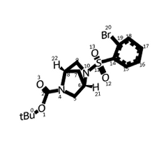 CC(C)(C)OC(=O)N1C[C@@H]2C[C@H]1CN2S(=O)(=O)c1ccccc1Br